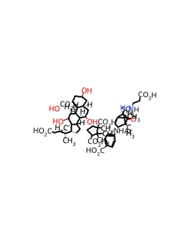 CC(=O)Nc1ccc(C(=O)O)cc1.CC1(C(=O)O)CCC(C(=O)O)C1(C)C.CC12CCC(C(S(=O)(=O)O)C1=O)C2(C)C.C[C@H](CCC(=O)O)[C@H]1CC[C@H]2[C@@H]3[C@H](O)C[C@@H]4C[C@H](O)CC[C@]4(C)[C@H]3C[C@H](O)[C@]12C.NCCC(=O)O.O=C(O)O